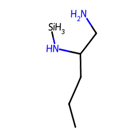 CCCC(CN)N[SiH3]